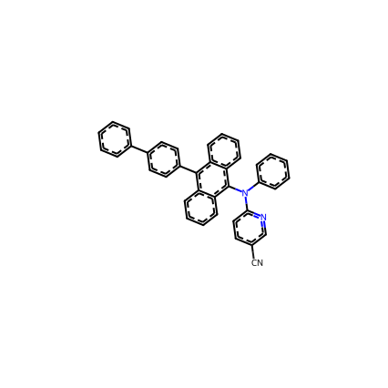 N#Cc1ccc(N(c2ccccc2)c2c3ccccc3c(-c3ccc(-c4ccccc4)cc3)c3ccccc23)nc1